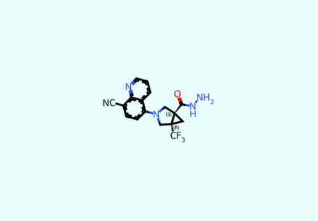 N#Cc1ccc(N2C[C@]3(C(=O)NN)C[C@]3(C(F)(F)F)C2)c2cccnc12